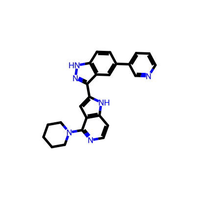 c1cncc(-c2ccc3[nH]nc(-c4cc5c(N6CCCCC6)nccc5[nH]4)c3c2)c1